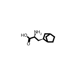 N[C@@H](C[C@H]1CC2CCC1C2)C(=O)O